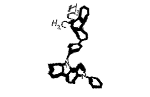 CC1(C)c2ccccc2-c2ccc(-c3ccc(-n4c5ccccc5c5ccc6c(ccn6-c6ccccc6)c54)cc3)cc21